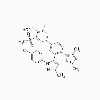 Cc1cn(-c2ccc(-c3cc(F)c(CO)c(S(C)(=O)=O)c3)cc2-c2cc(C)nn2-c2ccc(Cl)cc2)c(C)n1